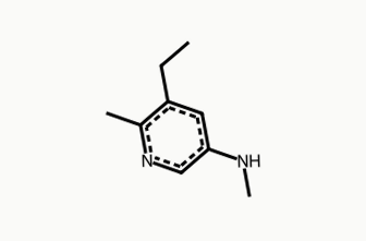 CCc1cc(NC)cnc1C